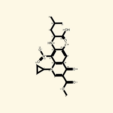 COC(=O)c1cn(C2CC2)c2c([N+](=O)[O-])c(NC(CC(C)C)C(=O)O)c(F)cc2c1=O